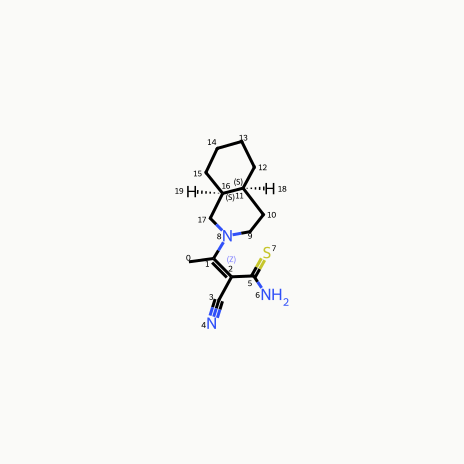 C/C(=C(\C#N)C(N)=S)N1CC[C@@H]2CCCC[C@@H]2C1